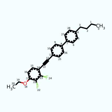 CCCCc1ccc(-c2ccc(C#Cc3ccc(OCC)c(F)c3F)cc2)cc1